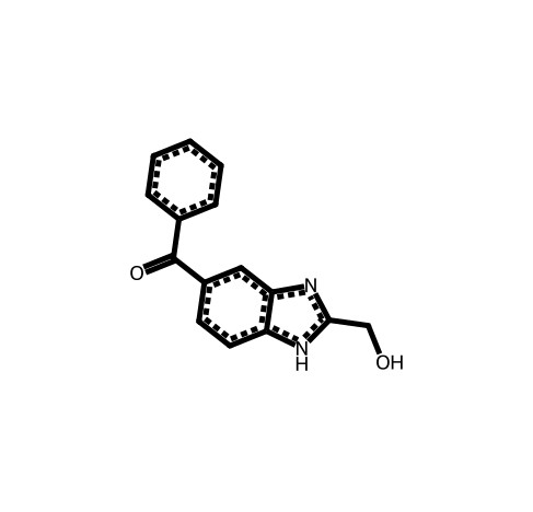 O=C(c1ccccc1)c1ccc2[nH]c(CO)nc2c1